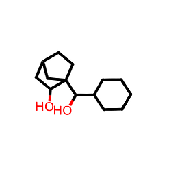 OC1CC2CCC1(C(O)C1CCCCC1)C2